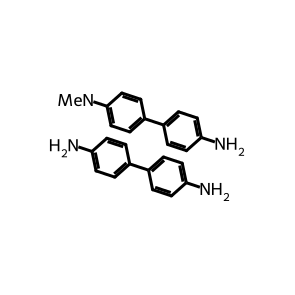 CNc1ccc(-c2ccc(N)cc2)cc1.Nc1ccc(-c2ccc(N)cc2)cc1